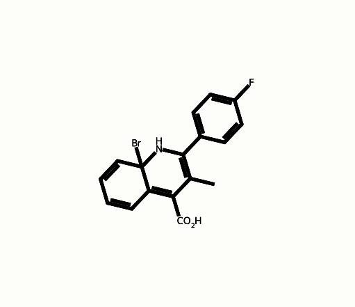 CC1=C(c2ccc(F)cc2)NC2(Br)C=CC=CC2=C1C(=O)O